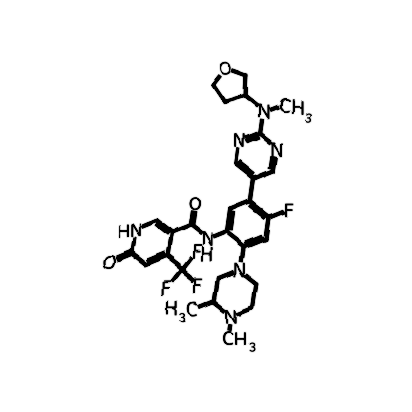 CC1CN(c2cc(F)c(-c3cnc(N(C)C4CCOC4)nc3)cc2NC(=O)c2c[nH]c(=O)cc2C(F)(F)F)CCN1C